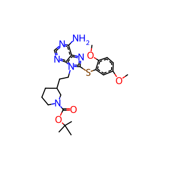 COc1ccc(OC)c(Sc2nc3c(N)ncnc3n2CCC2CCCN(C(=O)OC(C)(C)C)C2)c1